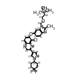 Cc1nc2ccc(Oc3ccc4ncc(-c5cnn(C6CCC(F)(F)CC6)c5)nc4c3Cl)cc2n1COCC[Si](C)(C)C